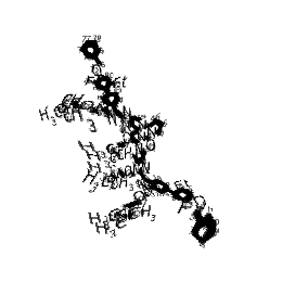 CCc1cc(OCc2ccccc2)c(F)cc1-c1ccc2c(-c3nc4c(n3COCC[Si](C)(C)C)CN(C3CCCN3C(=O)N3CCCC3N3Cc5nc(-c6nn(COCC[Si](C)(C)C)c7cc(-c8cc(F)c(OCc9ccccc9)cc8CC)ccc67)n(COCC[Si](C)(C)C)c5C3)C4)nn(COCC[Si](C)(C)C)c2c1